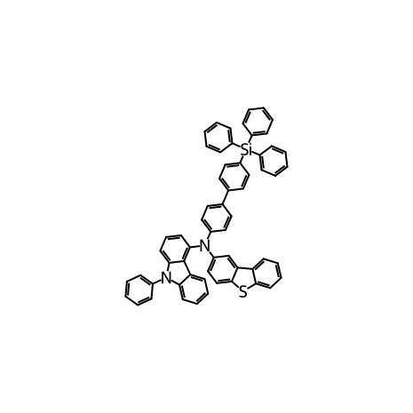 c1ccc(-n2c3ccccc3c3c(N(c4ccc(-c5ccc([Si](c6ccccc6)(c6ccccc6)c6ccccc6)cc5)cc4)c4ccc5sc6ccccc6c5c4)cccc32)cc1